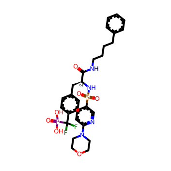 O=C(NCCCCc1ccccc1)[C@H](Cc1ccc(C(F)(F)P(=O)(O)O)cc1)NS(=O)(=O)c1ccc(N2CCOCC2)nc1